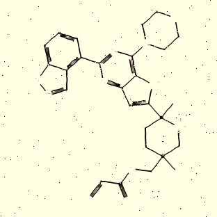 C=CC(=O)NCC1(C)CCC(C)(c2cc3nc(-c4cccc5[nH]ncc45)nc(N4CCOCC4)c3s2)OC1